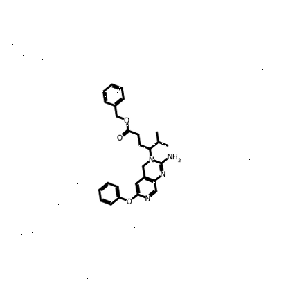 CC(C)C(CCC(=O)OCc1ccccc1)N1Cc2cc(Oc3ccccc3)ncc2N=C1N